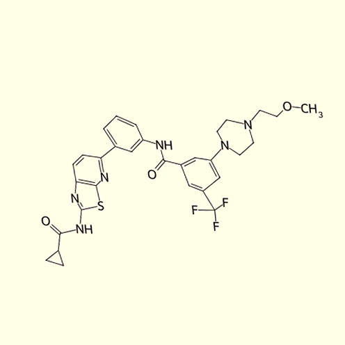 COCCN1CCN(c2cc(C(=O)Nc3cccc(-c4ccc5nc(NC(=O)C6CC6)sc5n4)c3)cc(C(F)(F)F)c2)CC1